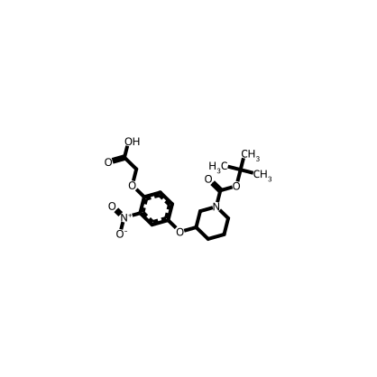 CC(C)(C)OC(=O)N1CCCC(Oc2ccc(OCC(=O)O)c([N+](=O)[O-])c2)C1